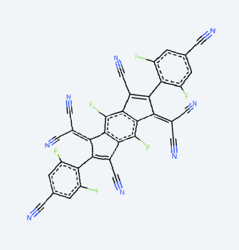 N#CC(C#N)=C1C(c2c(F)cc(C#N)cc2F)=C(C#N)c2c(F)c3c(c(F)c21)C(C#N)=C(c1c(F)cc(C#N)cc1F)C3=C(C#N)C#N